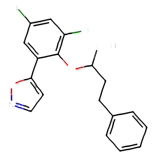 O=C(O)C(CCc1ccccc1)Oc1c(Cl)cc(Cl)cc1-c1ccno1